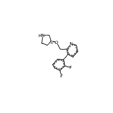 Fc1cccc(-c2cccnc2CO[C@H]2CCNC2)c1F